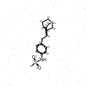 CS(=O)(=O)Nc1ccc(CC=C2CN3CCC2CC3)cc1